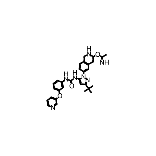 CC(=N)OC1Cc2cc(-n3nc(C(C)(C)C)cc3NC(=O)Nc3cccc(Oc4cccnc4)c3)ccc2CN1